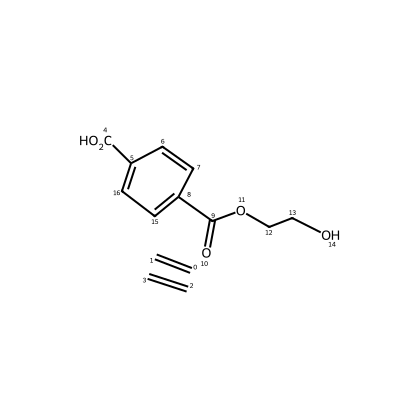 C=C.C=C.O=C(O)c1ccc(C(=O)OCCO)cc1